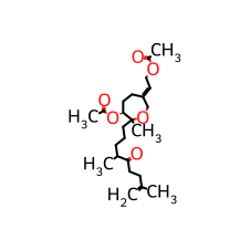 C=C(C)CCC(=O)C(C)CCCC1(C)OC/C(=C/COC(C)=O)CC[C@H]1OC(C)=O